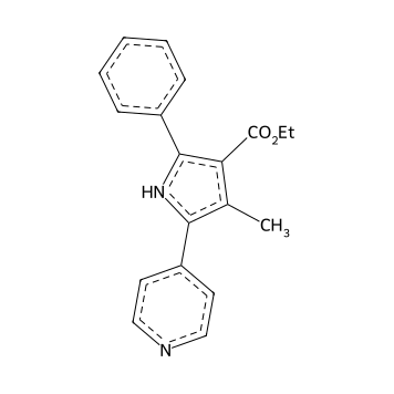 CCOC(=O)c1c(-c2ccccc2)[nH]c(-c2ccncc2)c1C